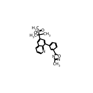 Cc1noc(-c2cccc(-c3cc(C(C)(C)S(C)(=O)=O)cc4cccnc34)c2)n1